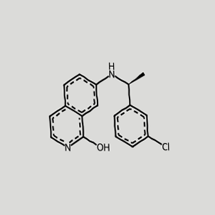 C[C@H](Nc1ccc2ccnc(O)c2c1)c1cccc(Cl)c1